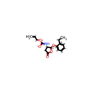 C=CCOC(=O)N[C@H]1CC(=O)OC1Oc1ccccc1CC